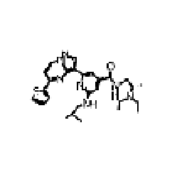 CCN(CC)[C@@H](C)CNC(=O)c1cc(NCC(C)C)nc(-c2cnn3ccc(-c4cccs4)nc23)c1